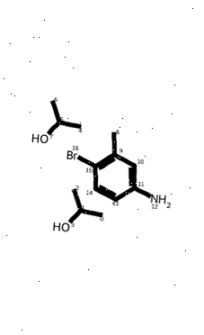 CC(C)O.CC(C)O.Cc1cc(N)ccc1Br